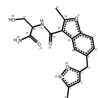 Cc1cc(Cc2ccc3oc(C)c(C(=O)NC(CO)C(N)=O)c3c2)on1